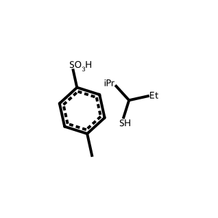 CCC(S)C(C)C.Cc1ccc(S(=O)(=O)O)cc1